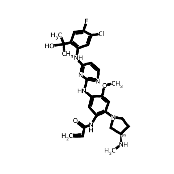 C=CC(=O)Nc1cc(Nc2nccc(Nc3cc(Cl)c(F)cc3C(C)(C)O)n2)c(OC)cc1N1CC[C@@H](NC)C1